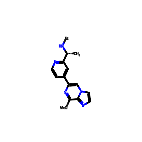 CCN[C@H](C)c1cc(-c2cn3ccnc3c(OC)n2)ccn1